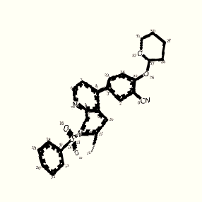 N#Cc1cc(-c2ccnc3c2cc(I)n3S(=O)(=O)c2ccccc2)ccc1OC1CCCCO1